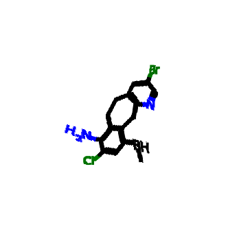 CBc1cc(Cl)c(N)c2c1Cc1ncc(Br)cc1CC2